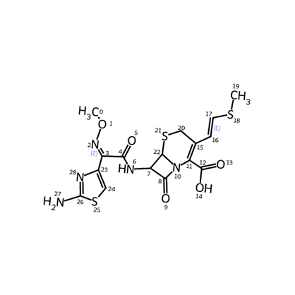 CO/N=C(\C(=O)NC1C(=O)N2C(C(=O)O)=C(/C=C/SC)CSC12)c1csc(N)n1